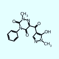 Cn1ncc(C(=O)c2nn(C)c(=O)n(-c3ccccc3)c2=O)c1O